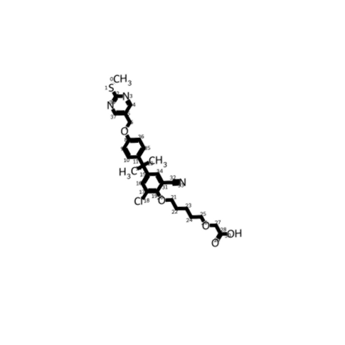 CSc1ncc(COc2ccc(C(C)(C)c3cc(Cl)c(OCCCCCOCC(=O)O)c(C#N)c3)cc2)cn1